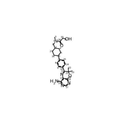 CN(CC1CCC(c2ccc(C3=Nc4c(N)ncnc4OC3(C)C)cc2)CC1)C(=O)CO